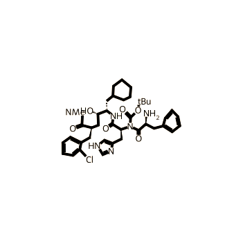 CNC(=O)[C@H](Cc1ccccc1Cl)C[C@H](O)[C@H](CC1CCCCC1)NC(=O)[C@H](Cc1c[nH]cn1)N(C(=O)OC(C)(C)C)C(=O)[C@@H](N)Cc1ccccc1